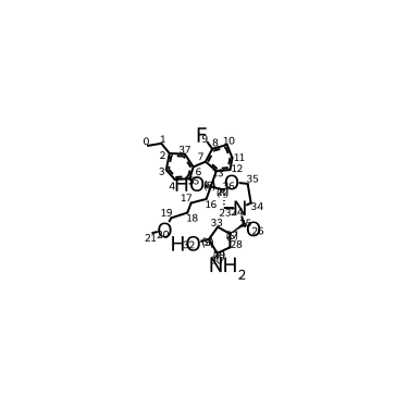 CCc1cccc(-c2c(F)cccc2[C@@](O)(CCCCOC)[C@H]2CN(C(=O)[C@H]3C[C@@H](N)[C@@H](O)C3)CCO2)c1